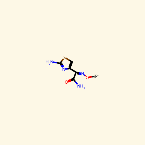 CC(C)ON=C(C(N)=O)c1csc(N)n1